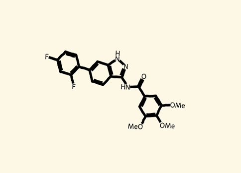 COc1cc(C(=O)Nc2n[nH]c3cc(-c4ccc(F)cc4F)ccc23)cc(OC)c1OC